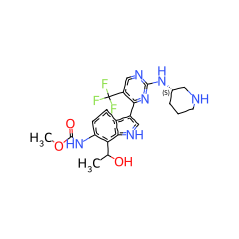 COC(=O)Nc1ccc2c(-c3nc(N[C@H]4CCCNC4)ncc3C(F)(F)F)c[nH]c2c1C(C)O